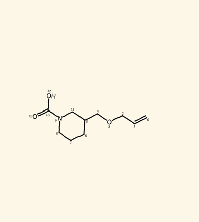 C=CCOCC1CCCN(C(=O)O)C1